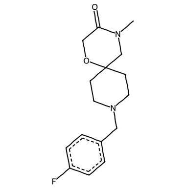 CN1CC2(CCN(Cc3ccc(F)cc3)CC2)OCC1=O